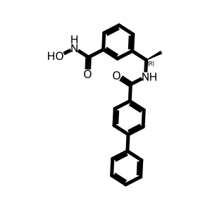 C[C@@H](NC(=O)c1ccc(-c2ccccc2)cc1)c1cccc(C(=O)NO)c1